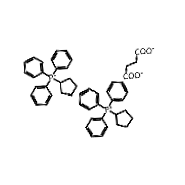 O=C([O-])CCC(=O)[O-].c1ccc([P+](c2ccccc2)(c2ccccc2)C2CCCC2)cc1.c1ccc([P+](c2ccccc2)(c2ccccc2)C2CCCC2)cc1